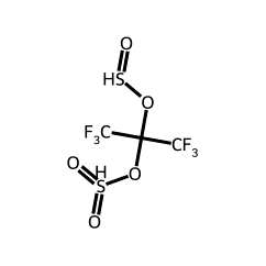 O=[SH]OC(O[SH](=O)=O)(C(F)(F)F)C(F)(F)F